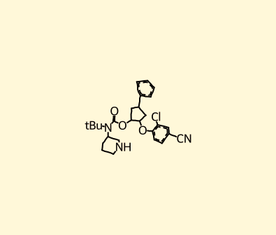 CC(C)(C)N(C(=O)OC1CC(c2ccccc2)CC1Oc1ccc(C#N)cc1Cl)C1CCCNC1